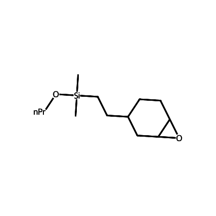 CCCO[Si](C)(C)CCC1CCC2OC2C1